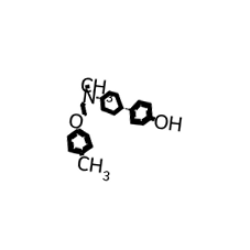 Cc1ccc(OCCN(C)[C@H]2CC[C@@H](c3ccc(O)cc3)CC2)cc1